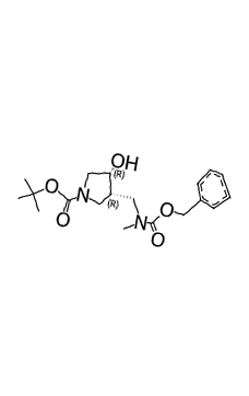 CN(C[C@@H]1CN(C(=O)OC(C)(C)C)C[C@@H]1O)C(=O)OCc1ccccc1